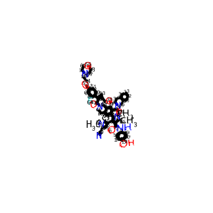 Cc1c(-c2c(C(=O)Nc3ccc(O)cc3)c(C)n(C)c2-c2cc3c(cc2C(=O)N2Cc4ccccc4C[C@H]2COCC2CC2)CN(C(=O)Cc2ccc(OCCN4CCOCC4)cc2F)CC3)cc(C#N)n1C